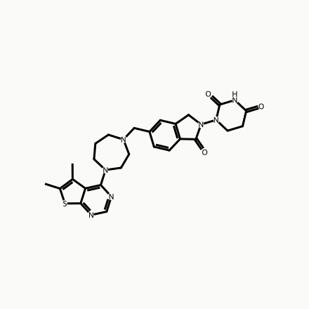 Cc1sc2ncnc(N3CCCN(Cc4ccc5c(c4)CN(N4CCC(=O)NC4=O)C5=O)CC3)c2c1C